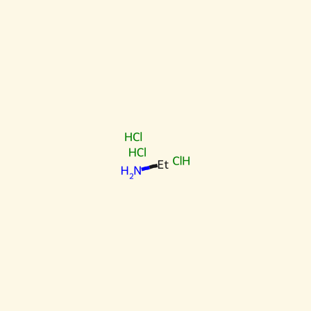 Cl.Cl.Cl.[CH2]CN